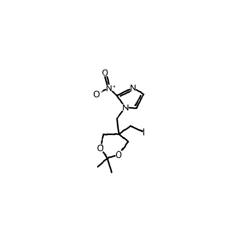 CC1(C)OCC(CI)(Cn2ccnc2[N+](=O)[O-])CO1